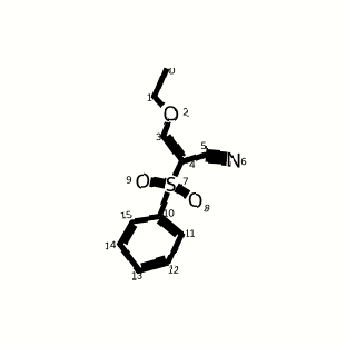 CCO/C=C(\C#N)S(=O)(=O)c1ccccc1